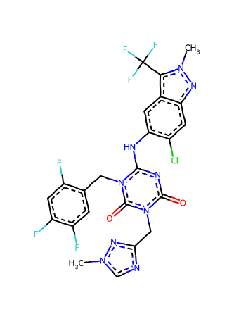 Cn1cnc(Cn2c(=O)nc(Nc3cc4c(C(F)(F)F)n(C)nc4cc3Cl)n(Cc3cc(F)c(F)cc3F)c2=O)n1